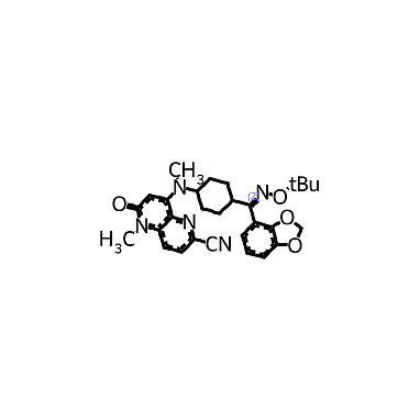 CN(c1cc(=O)n(C)c2ccc(C#N)nc12)C1CCC(/C(=N/OC(C)(C)C)c2cccc3c2OCO3)CC1